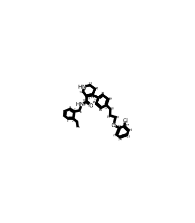 CCc1ccccc1CNC(=O)C1=C(c2ccc(CCCOc3ccccc3Cl)cc2)CCNC1